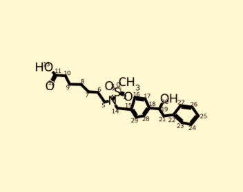 CS(=O)(=O)N(CCCCCCC(=O)O)Cc1ccc(C(O)Cc2ccccc2)cc1